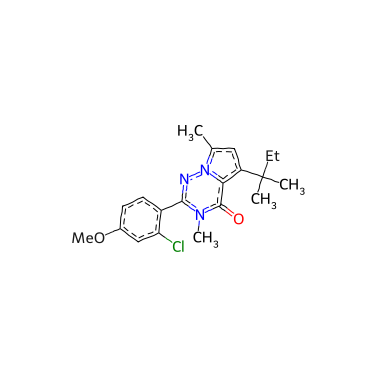 CCC(C)(C)c1cc(C)n2nc(-c3ccc(OC)cc3Cl)n(C)c(=O)c12